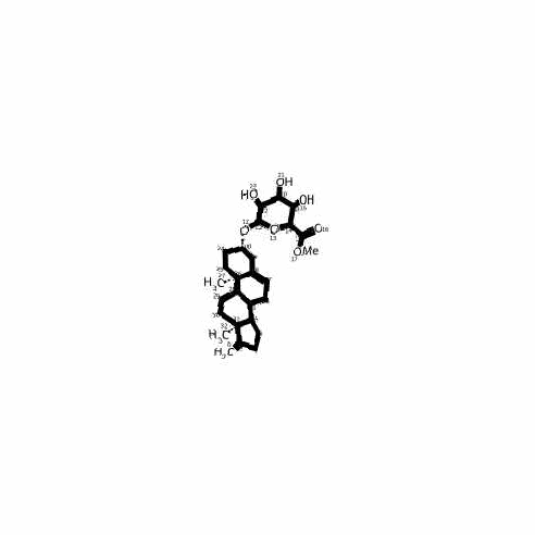 C=C1CCC2C3CC=C4C[C@@H](OC5OC(C(=O)OC)C(O)C(O)C5O)CC[C@]4(C)C3CC[C@]12C